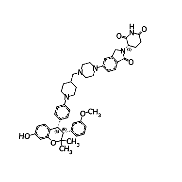 COc1cccc([C@H]2[C@@H](c3ccc(N4CCC(CN5CCN(c6ccc7c(c6)CN([C@H]6CCC(=O)NC6=O)C7=O)CC5)CC4)cc3)c3ccc(O)cc3OC2(C)C)c1